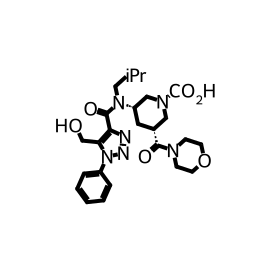 CC(C)CN(C(=O)c1nnn(-c2ccccc2)c1CO)[C@H]1C[C@@H](C(=O)N2CCOCC2)CN(C(=O)O)C1